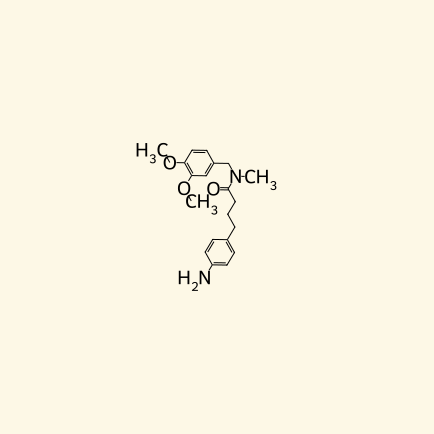 COc1ccc(CN(C)C(=O)CCCc2ccc(N)cc2)cc1OC